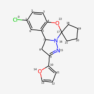 Clc1ccc2c(c1)C1CC(c3ccco3)=NN1C1(CCCC1)O2